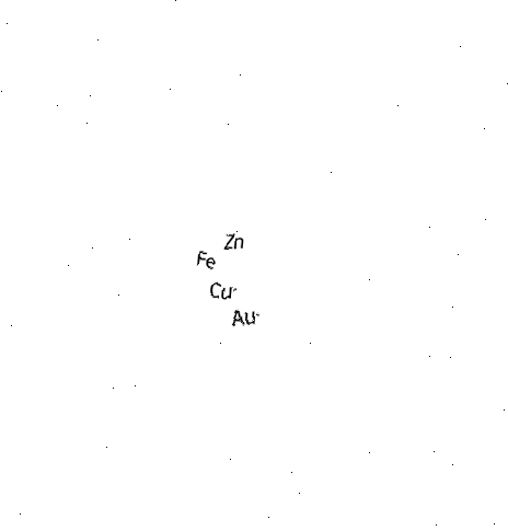 [Au].[Cu].[Fe].[Zn]